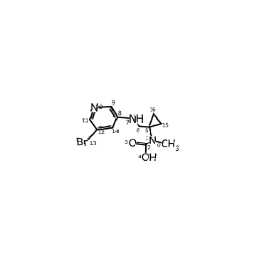 CN(C(=O)O)C1(CNc2cncc(Br)c2)CC1